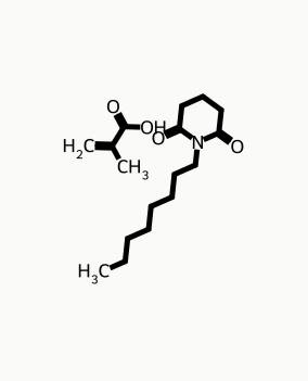 C=C(C)C(=O)O.CCCCCCCCN1C(=O)CCCC1=O